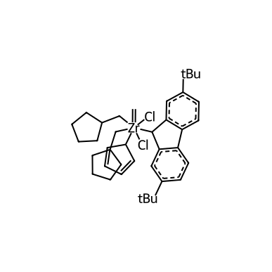 [CH2]=[Zr]([Cl])([Cl])([CH2]C1CCCC1)([CH2]C1CCCC1)([CH]1C=CC=C1)[CH]1c2cc(C(C)(C)C)ccc2-c2ccc(C(C)(C)C)cc21